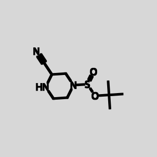 CC(C)(C)OS(=O)N1CCNC(C#N)C1